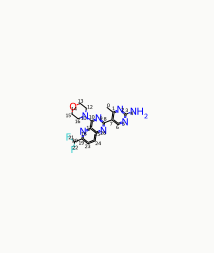 Cc1nc(N)ncc1-c1nc(N2CCOCC2)c2nc(C(F)F)ccc2n1